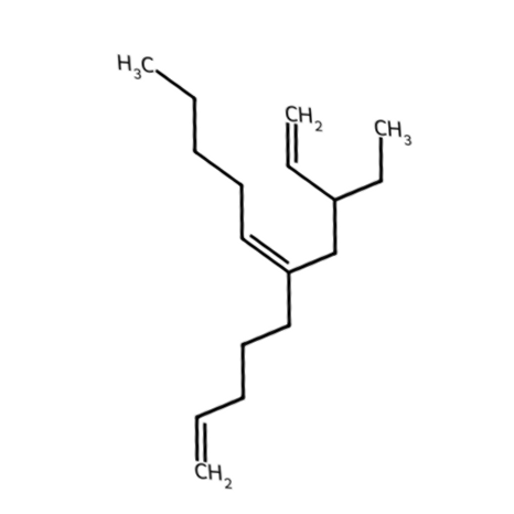 C=CCCCC(=CCCCC)CC(C=C)CC